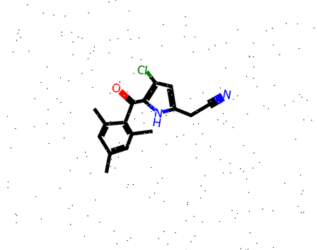 Cc1cc(C)c(C(=O)c2[nH]c(CC#N)cc2Cl)c(C)c1